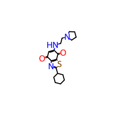 O=C1C=C(NCCN2CCCC2)C(=O)c2sc(C3CCCCC3)nc21